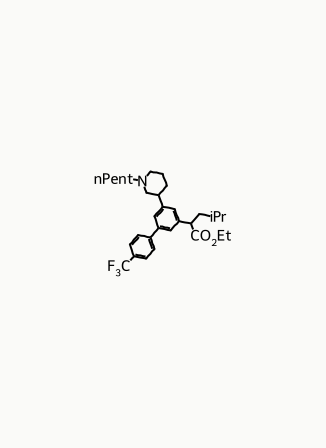 CCCCCN1CCCC(c2cc(-c3ccc(C(F)(F)F)cc3)cc(C(CC(C)C)C(=O)OCC)c2)C1